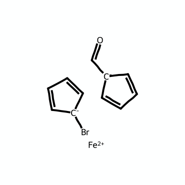 Br[c-]1cccc1.O=C[c-]1cccc1.[Fe+2]